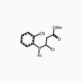 CCC(CC(=O)OC)N(C(C)=O)c1ccccc1C#N